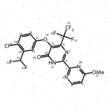 COc1ccnc(-c2nc(C(F)(F)C(F)(F)F)c(Oc3ccc(Cl)c(C(F)F)c3)c(=O)[nH]2)n1